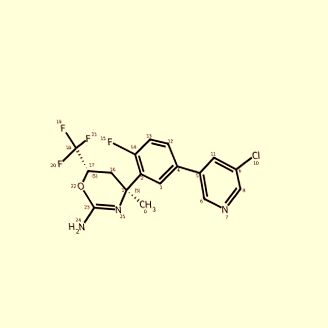 C[C@@]1(c2cc(-c3cncc(Cl)c3)ccc2F)C[C@@H](C(F)(F)F)OC(N)=N1